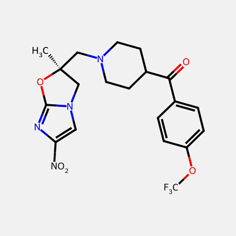 C[C@]1(CN2CCC(C(=O)c3ccc(OC(F)(F)F)cc3)CC2)Cn2cc([N+](=O)[O-])nc2O1